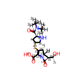 [2H]C([2H])([2H])N(C(=O)[C@@H]1C[C@H](SC2=C(C(=O)O)N3C(=O)[C@H]([C@@H](C)O)[C@H]3[C@H]2C)CN1)C([2H])([2H])[2H]